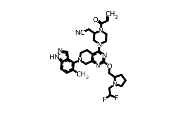 C=CC(=O)N1CCN(c2nc(OCC3CCCN3CC(F)F)nc3c2CCN(c2c(C)ccc4[nH]ncc24)C3)CC1CC#N